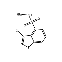 CC(C)(C)NS(=O)(=O)c1cccc2snc(Cl)c12